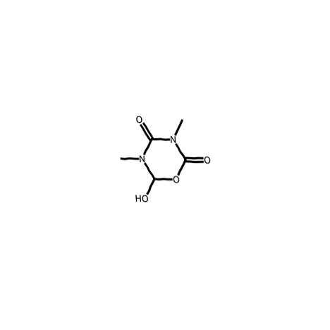 CN1C(=O)OC(O)N(C)C1=O